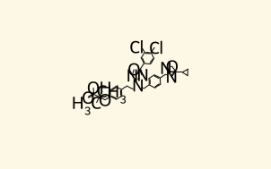 CC(C)(Oc1ccc(CCN(Cc2ccc(-c3noc(C4CC4)n3)cc2)c2noc(-c3ccc(Cl)c(Cl)c3)n2)cc1)C(=O)O